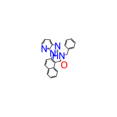 O=C(NCc1ccccc1)c1c(-n2cnc3cccnc32)ccc2ccccc12